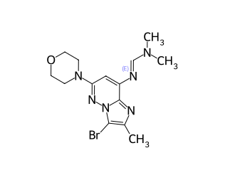 Cc1nc2c(/N=C/N(C)C)cc(N3CCOCC3)nn2c1Br